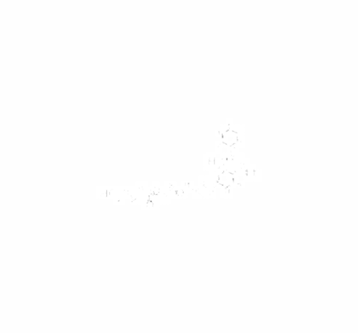 CCC(CC(C)c1ccccc1)c1ccc(CCCCOCCOC(=O)CCC(=O)O)cc1